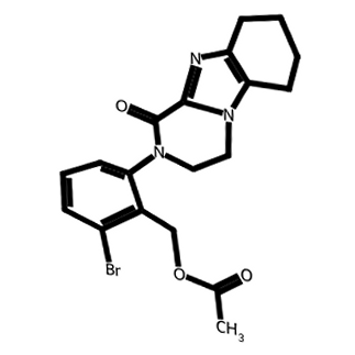 CC(=O)OCc1c(Br)cccc1N1CCn2c(nc3c2CCCC3)C1=O